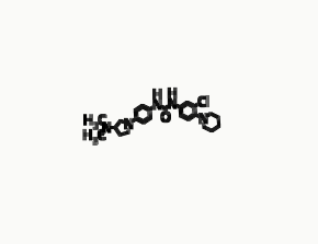 CN(C)C1CCN(c2ccc(NC(=O)Nc3ccc(N4CCCCC4)c(Cl)c3)cc2)C1